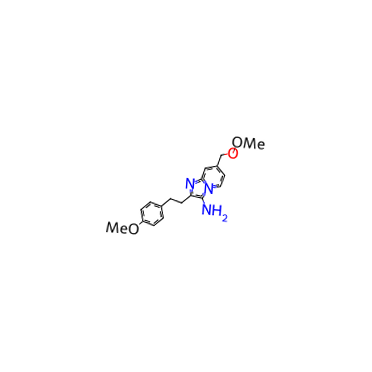 COOCc1ccn2c(N)c(CCc3ccc(OC)cc3)nc2c1